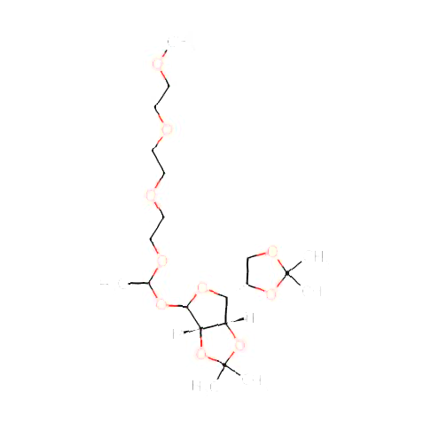 COCCOCCOCCOC(C)OC1O[C@H](C2COC(C)(C)O2)[C@@H]2OC(C)(C)O[C@H]12